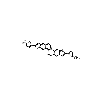 Cc1ccc(-c2cc3cc4ccc5c6cc7sc(-c8ccc(C)s8)cc7cc6ccc5c4cc3s2)s1